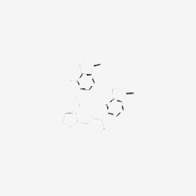 Cc1c(C(CO)NCC2CCCN2C[C@H](O)c2ccc3c(c2C)COC3=O)ccc2c1COC2=O